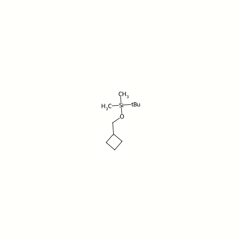 CC(C)(C)[Si](C)(C)OC[C]1CCC1